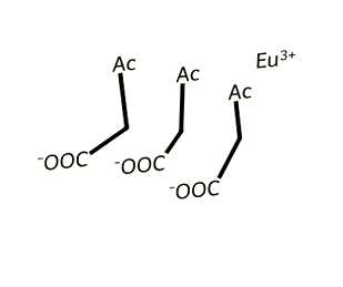 CC(=O)CC(=O)[O-].CC(=O)CC(=O)[O-].CC(=O)CC(=O)[O-].[Eu+3]